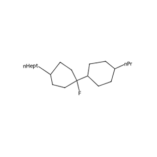 CCCCCCCC1CCC(F)(C2CCC(CCC)CC2)CC1